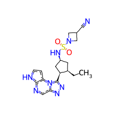 CC[C@@H]1C[C@H](NS(=O)(=O)N2CC(C#N)C2)C[C@@H]1c1nnc2cnc3[nH]ccc3n12